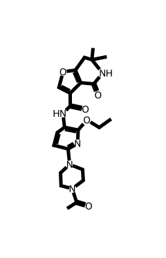 CCOc1nc(N2CCN(C(C)=O)CC2)ccc1NC(=O)c1coc2c1C(=O)NC(C)(C)C2